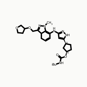 CCC(C)NC(=O)O[C@@H]1CC[C@H](c2cc(NC3=C4C(CC=C3)C(COC3CCOC3)=NN4C)n[nH]2)C1